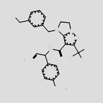 C=CC(NC(=O)c1c(C(C)(F)F)nn2c1N(Cc1cccc(CF)c1)CC2)c1ccc(C(=O)O)cc1